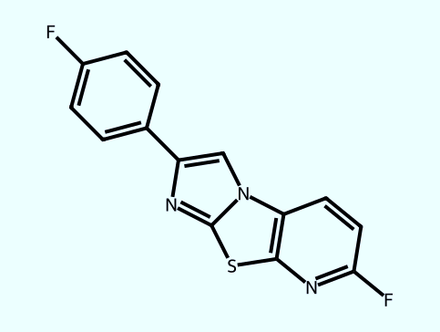 Fc1ccc(-c2cn3c(n2)sc2nc(F)ccc23)cc1